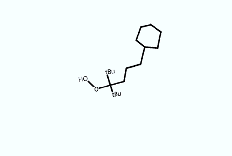 CC(C)(C)C(CCCC1CC[CH]CC1)(OO)C(C)(C)C